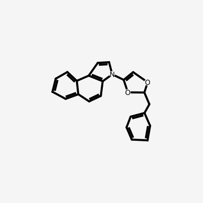 C1=C(n2ccc3c4ccccc4ccc32)OC(Cc2ccccc2)O1